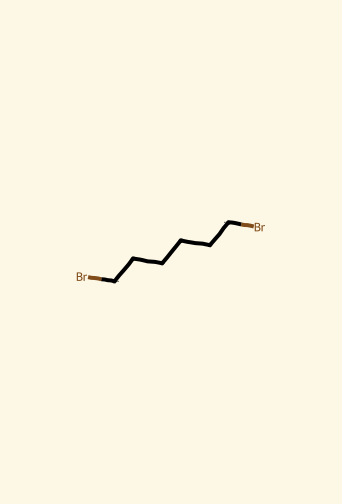 Br[CH]CCCC[CH]Br